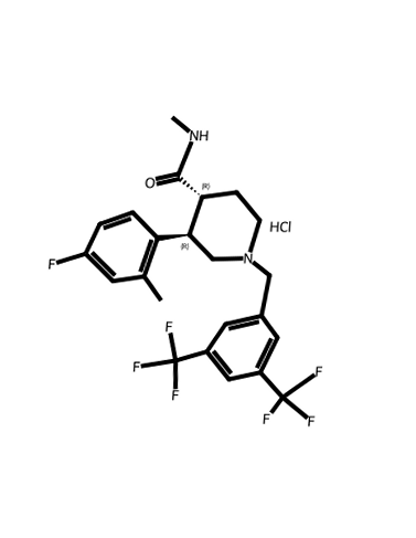 CNC(=O)[C@@H]1CCN(Cc2cc(C(F)(F)F)cc(C(F)(F)F)c2)C[C@H]1c1ccc(F)cc1C.Cl